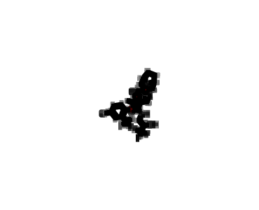 CC(C)(Oc1ccc(Cl)cc1C(F)(F)F)C(=O)NC1CC2CCC(C1)N2c1ccc(C(=O)NCC(O)C(F)(F)F)cn1